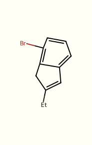 CCC1=Cc2cccc(Br)c2C1